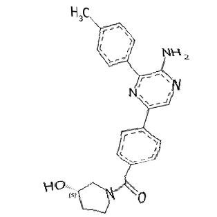 Cc1ccc(-c2nc(-c3ccc(C(=O)N4CC[C@H](O)C4)cc3)cnc2N)cc1